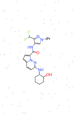 CC(C)n1cc(NC(=O)c2ccc3ccc(N[C@@H]4CCCC[C@@H]4O)nn23)c(C(F)F)n1